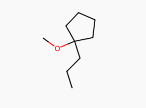 CCCC1(OC)CCCC1